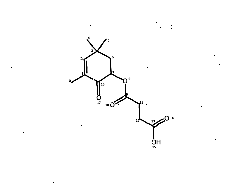 CC1=CC(C)(C)CC(OC(=O)CCC(=O)O)C1=O